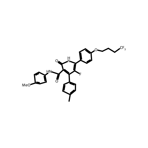 COc1ccc(NC(=O)c2c(-c3ccc(C)cc3)c(F)c(-c3ccc(OCCCC(F)(F)F)cc3)[nH]c2=O)cc1